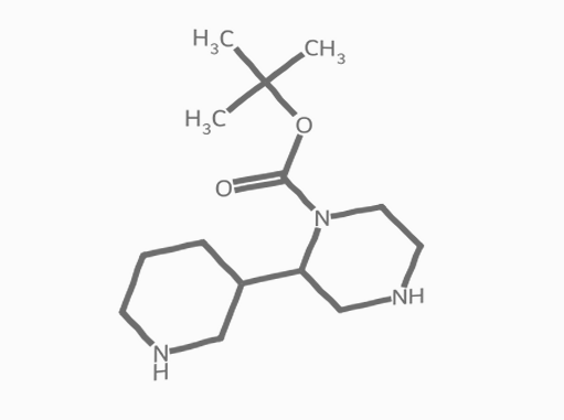 CC(C)(C)OC(=O)N1CCNCC1C1CCCNC1